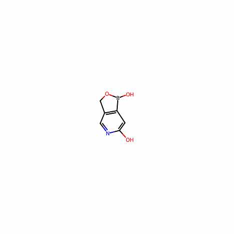 OB1OCc2cnc(O)cc21